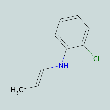 CC=CNc1ccccc1Cl